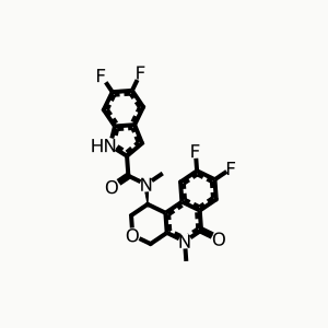 CN(C(=O)c1cc2cc(F)c(F)cc2[nH]1)[C@@H]1COCc2c1c1cc(F)c(F)cc1c(=O)n2C